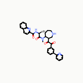 CCCC(NC(=O)c1ccc2ccccc2n1)C(=O)N(C)C1CCCNCC1C(=O)C(=O)c1cccc(-c2ccccn2)c1